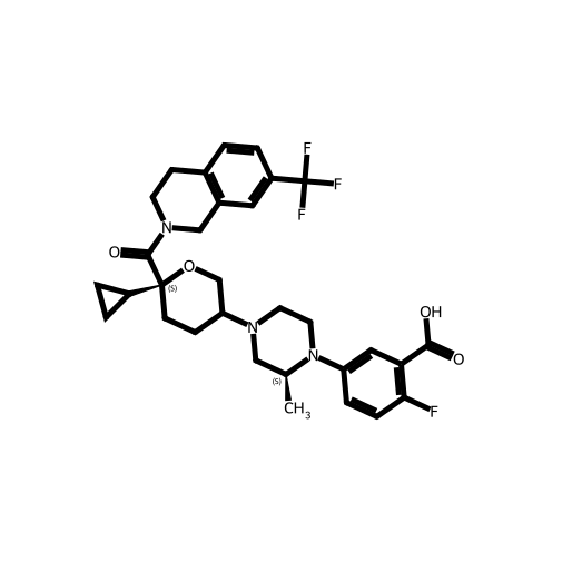 C[C@H]1CN(C2CC[C@@](C(=O)N3CCc4ccc(C(F)(F)F)cc4C3)(C3CC3)OC2)CCN1c1ccc(F)c(C(=O)O)c1